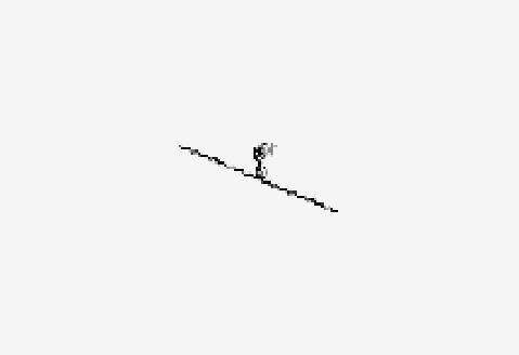 CCCCCC=CCC=CCCCCCCCCC(CCCCCCCCC=CCC=CCCCCC)OCCC[N+](C)(C)C.[Cl-]